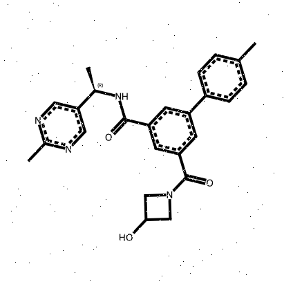 Cc1ccc(-c2cc(C(=O)N[C@H](C)c3cnc(C)nc3)cc(C(=O)N3CC(O)C3)c2)cc1